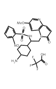 COc1cnc2ccc(=O)n(CC(NS(=O)(=O)c3ccccc3[N+](=O)[O-])C3CCC(N)CC3)c2c1.O=C(O)C(F)(F)F